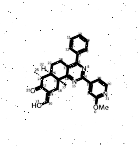 COc1cc(-c2nc(-c3ccccc3)c3c(n2)[C@]2(C)C/C(=C/O)C(=O)[C@H](C)[C@H]2CC3)ccn1